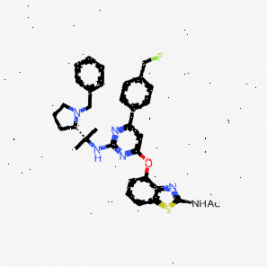 CC(=O)Nc1nc2c(Oc3cc(-c4ccc(CF)cc4)nc(NC(C)(C)[C@@H]4CCCN4Cc4ccccc4)n3)cccc2s1